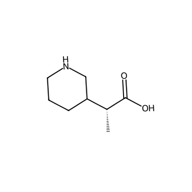 C[C@@H](C(=O)O)C1CCCNC1